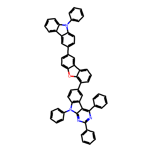 c1ccc(-c2nc(-c3ccccc3)c3c4cc(-c5cccc6c5oc5ccc(-c7ccc8c(c7)c7ccccc7n8-c7ccccc7)cc56)ccc4n(-c4ccccc4)c3n2)cc1